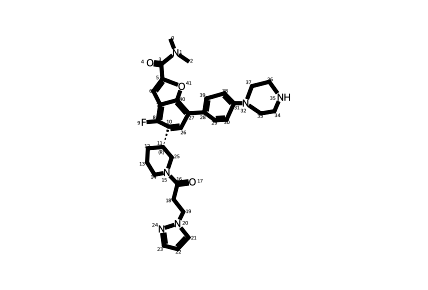 CN(C)C(=O)c1cc2c(F)c([C@H]3CCCN(C(=O)CCn4cccn4)C3)cc(-c3ccc(N4CCNCC4)cc3)c2o1